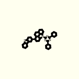 c1ccc(-c2nc(-c3ccccc3)nc(-n3c4cccc5ccc6c(-c7ccc8sc9ccccc9c8c7)ccc3c6c54)n2)cc1